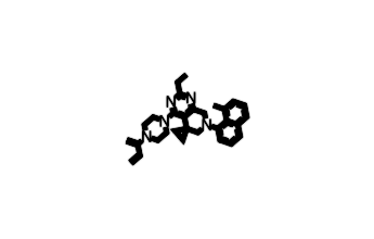 C=CC(=C)N1CCN(c2nc(CC)nc3c2C2(CC2)CN(c2cccc4cccc(C)c24)C3)CC1